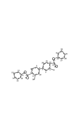 Cc1cc(-c2ccc(C(=O)Oc3ccccc3)c(C)c2)ccc1C(=O)Oc1ccccc1